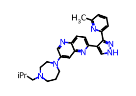 Cc1cccc(-c2n[nH]cc2-c2ccc3ncc(N4CCCN(CC(C)C)CC4)cc3n2)n1